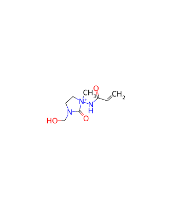 C=CC(=O)N[N+]1(C)CCN(CO)C1=O